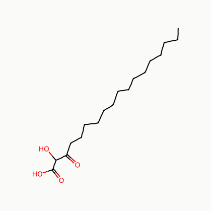 CCCCCCCCCCCCCCCC(=O)C(O)C(=O)O